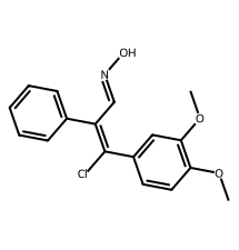 COc1ccc(C(Cl)=C(C=NO)c2ccccc2)cc1OC